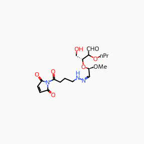 CCCOC(C=O)[C@@H](CO)O[C@H](/C=N\NCCCC(=O)N1C(=O)C=CC1=O)OC